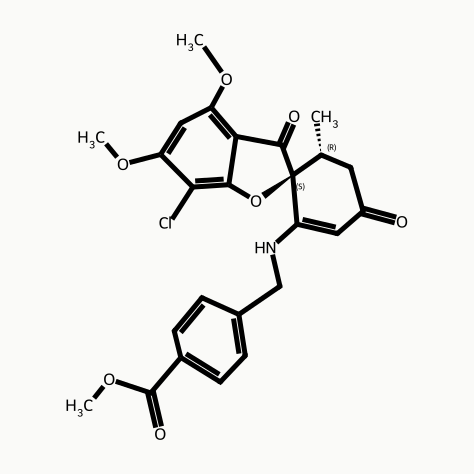 COC(=O)c1ccc(CNC2=CC(=O)C[C@@H](C)[C@]23Oc2c(Cl)c(OC)cc(OC)c2C3=O)cc1